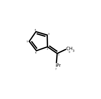 CC(=C1C=CC=C1)C(C)C